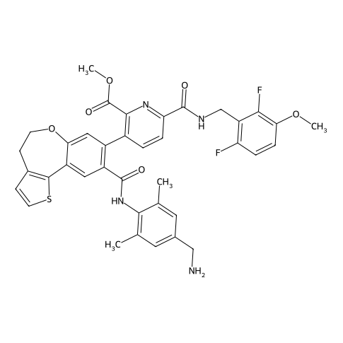 COC(=O)c1nc(C(=O)NCc2c(F)ccc(OC)c2F)ccc1-c1cc2c(cc1C(=O)Nc1c(C)cc(CN)cc1C)-c1sccc1CCO2